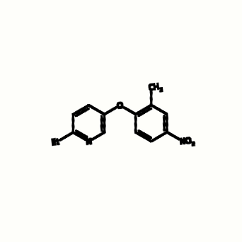 CCc1ccc(Oc2ccc([N+](=O)[O-])cc2C)cn1